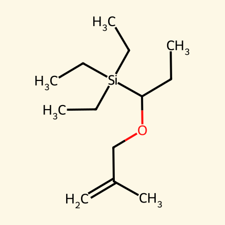 C=C(C)COC(CC)[Si](CC)(CC)CC